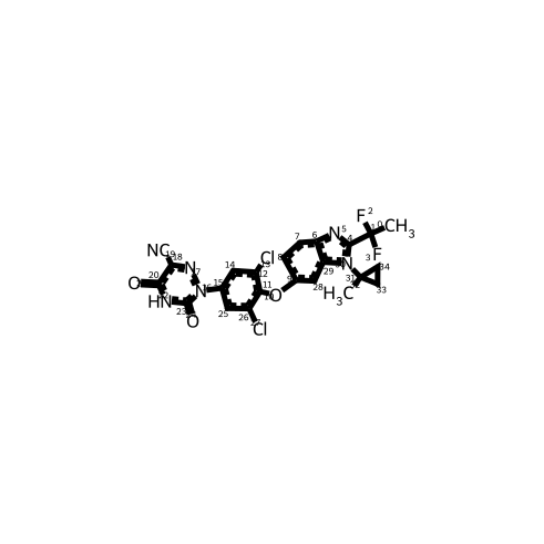 CC(F)(F)c1nc2ccc(Oc3c(Cl)cc(-n4nc(C#N)c(=O)[nH]c4=O)cc3Cl)cc2n1C1(C)CC1